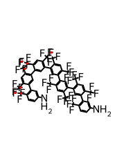 Nc1ccc(C(F)(F)F)c(-c2cc(-c3cc(-c4cc(-c5cc(-c6cc(-c7cc(N)ccc7C(F)(F)F)c(C(F)(F)F)cc6C(F)(F)F)c(C(F)(F)F)cc5C(F)(F)F)c(C(F)(F)F)cc4C(F)(F)F)c(C(F)(F)F)cc3C(F)(F)F)c(C(F)(F)F)cc2C(F)(F)F)c1